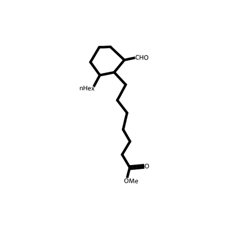 CCCCCCC1CCCC(C=O)C1CCCCCCC(=O)OC